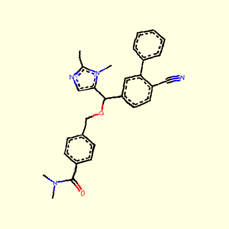 Cc1ncc(C(OCc2ccc(C(=O)N(C)C)cc2)c2ccc(C#N)c(-c3ccccc3)c2)n1C